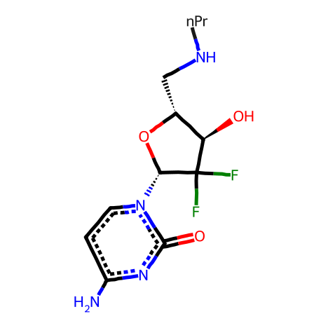 CCCNC[C@H]1O[C@@H](n2ccc(N)nc2=O)C(F)(F)[C@@H]1O